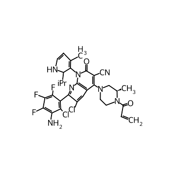 C=CC(=O)N1CCN(c2c(C#N)c(=O)n(C3=C(C)C=CNC3C(C)C)c3nc(-c4c(F)c(F)c(F)c(N)c4Cl)c(Cl)cc23)C[C@H]1C